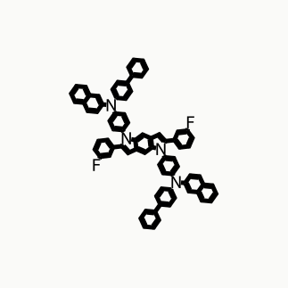 Fc1cccc(-c2cc3cc4c(cc(-c5cccc(F)c5)n4-c4ccc(N(c5ccc(-c6ccccc6)cc5)c5ccc6ccccc6c5)cc4)cc3n2-c2ccc(N(c3ccc(-c4ccccc4)cc3)c3ccc4ccccc4c3)cc2)c1